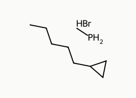 Br.CCCCCC1CC1.CP